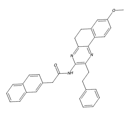 COc1ccc2c(c1)CCc1nc(NC(=O)Cc3ccc4ccccc4c3)c(CCc3ccccc3)nc1-2